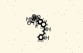 O=C1CN(c2c(O)cc3c(c2F)CC(NCCC2CCCCN2)CC3)S(=O)(=O)N1